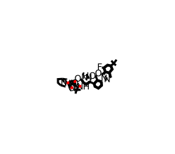 Cn1nc(-c2cccc(-n3ncc4cc(C(C)(C)C)cc(F)c4c3=O)c2CO)cc(Nc2ccc(N3C4CCC3CN(C(=O)OC(C)(C)C)C4)cn2)c1=O